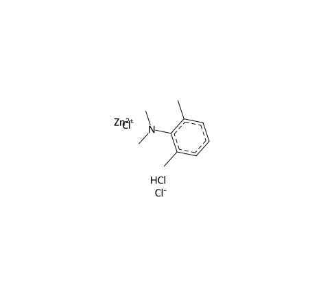 Cc1cccc(C)c1N(C)C.Cl.[Cl-].[Cl-].[Zn+2]